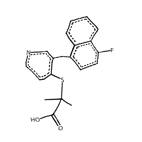 CC(C)(Sc1ccncc1-c1ccc(F)c2ccccc12)C(=O)O